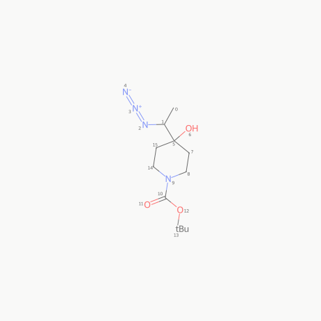 CC(N=[N+]=[N-])C1(O)CCN(C(=O)OC(C)(C)C)CC1